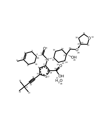 CC1=CC[C@H](C(=O)N(c2cc(C#CC(C)(C)C)sc2C(=O)O)[C@H]2CC[C@](O)(CO[C@H]3CCOC3)CC2)CC1.O